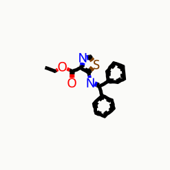 CCOC(=O)c1ncsc1N=C(c1ccccc1)c1ccccc1